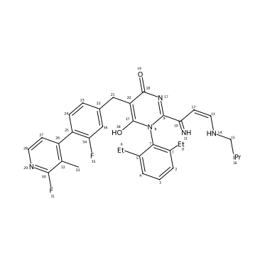 CCc1cccc(CC)c1-n1c(C(=N)/C=C\NCC(C)C)nc(=O)c(Cc2ccc(-c3ccnc(F)c3C)c(F)c2)c1O